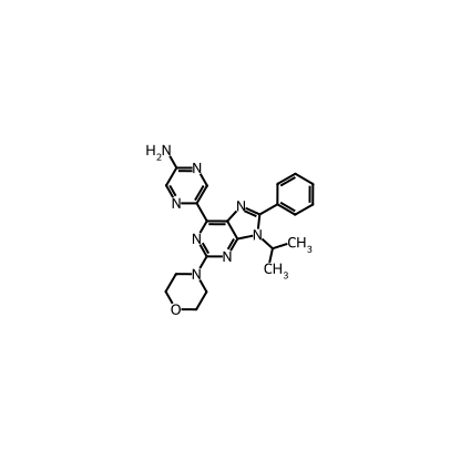 CC(C)n1c(-c2ccccc2)nc2c(-c3cnc(N)cn3)nc(N3CCOCC3)nc21